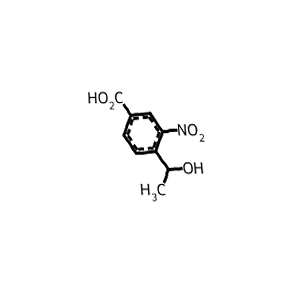 CC(O)c1ccc(C(=O)O)cc1[N+](=O)[O-]